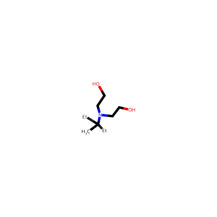 CCC(C)(CC)N(CCO)CCO